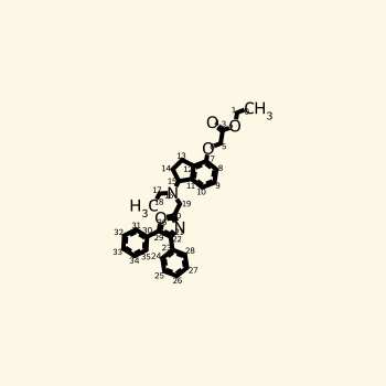 CCOC(=O)COc1cccc2c1CCC2N(CC)Cc1nc(-c2ccccc2)c(-c2ccccc2)o1